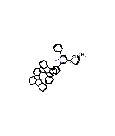 C=C/C=C\C[C@H](C)C1=C[C@H](c2ccccc2)NC(C2=CCC(c3cccc4c3C3(C5=CC=CCC5c5ccccc53)c3ccccc3C43C4=CC=CCC4c4ccccc43)C=C2)=C1